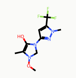 CON1CN(c2cc(C(F)(F)F)n(C)n2)C(O)=C1C